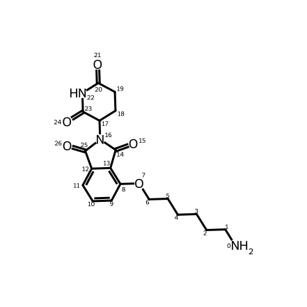 NCCCCCCOc1cccc2c1C(=O)N(C1CCC(=O)NC1=O)C2=O